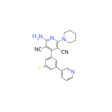 N#Cc1c(N)nc(N2CCCCC2)c(C#N)c1-c1cc(F)cc(-c2cccnc2)c1